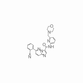 N#Cc1ccccc1-c1ccc2ncc(C(=O)Nc3cccc(CN4CCOCC4)n3)n2n1